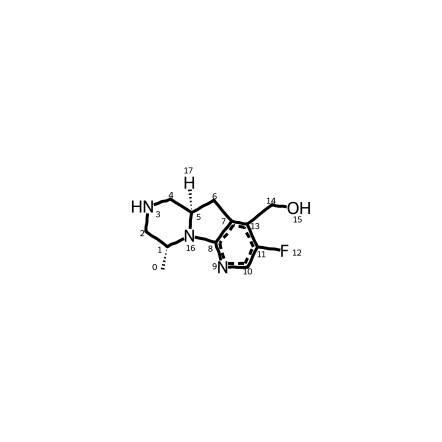 C[C@@H]1CNC[C@H]2Cc3c(ncc(F)c3CO)N21